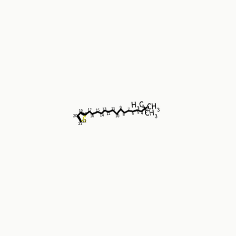 CC(C)(C)CCCCCCCCCCCCCCc1cccs1